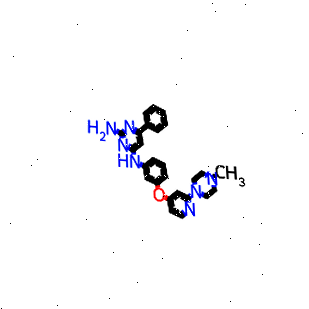 CN1CCN(c2cc(Oc3cccc(Nc4cc(-c5ccccc5)nc(N)n4)c3)ccn2)CC1